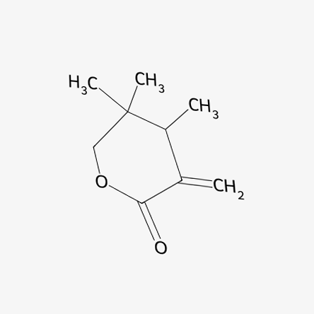 C=C1C(=O)OCC(C)(C)C1C